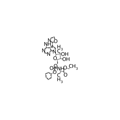 CCOC(=O)[C@@H](C)NP(=O)(OC[C@H]1O[C@@H](n2cc(-c3ncco3)c3c(N)ncnc32)[C@](C)(O)[C@H]1O)Oc1ccccc1